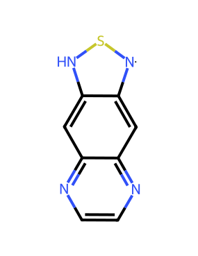 c1cnc2cc3c(cc2n1)[N]SN3